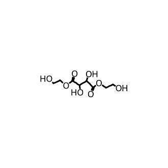 O=C(OCCO)C(O)C(O)C(=O)OCCO